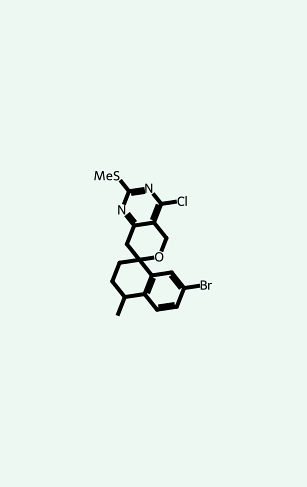 CSc1nc(Cl)c2c(n1)CC1(CCC(C)c3ccc(Br)cc31)OC2